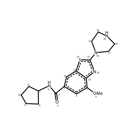 COc1cc(C(=O)NC2CCCC2)cc2sc(N3CCNCC3)nc12